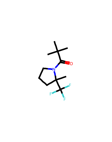 CC(C)(C)C(=O)N1CCCC1(C)C(F)(F)F